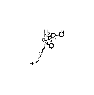 C#CCCCOC/C=C/CN(C(=O)c1sc2nc(-c3cccnc3)ccc2c1N)c1ccccc1